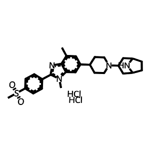 Cc1cc(C2CCN(C3CC4CCC(C3)N4)CC2)cc2c1nc(-c1ccc(S(C)(=O)=O)cc1)n2C.Cl.Cl